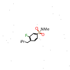 CNS(=O)(=O)c1ccc(CC(C)C)c(F)c1